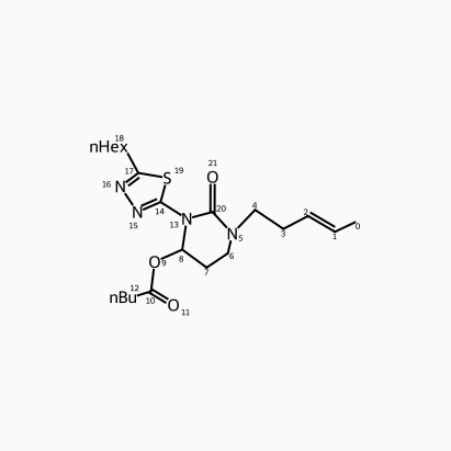 CC=CCCN1CCC(OC(=O)CCCC)N(c2nnc(CCCCCC)s2)C1=O